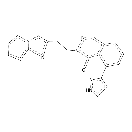 O=c1c2c(-c3cc[nH]n3)cccc2cnn1CCc1cn2ccccc2n1